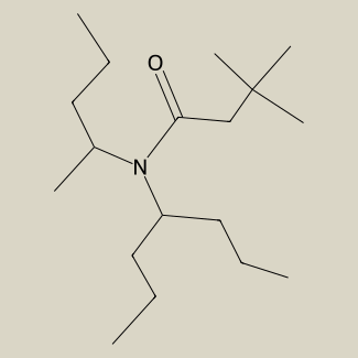 CCCC(C)N(C(=O)CC(C)(C)C)C(CCC)CCC